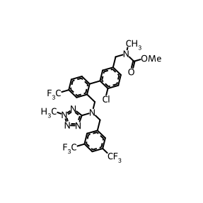 COC(=O)N(C)Cc1ccc(Cl)c(-c2ccc(C(F)(F)F)cc2CN(Cc2cc(C(F)(F)F)cc(C(F)(F)F)c2)c2nnn(C)n2)c1